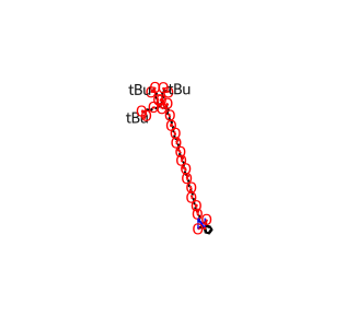 CC(C)(C)OC(=O)CCOCC(COCCC(=O)OC(C)(C)C)(COCCC(=O)OC(C)(C)C)OC(=O)CCOCCOCCOCCOCCOCCOCCOCCOCCOCCOCCOCCOCCN1C(=O)c2ccccc2C1=O